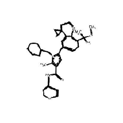 COC(C)(C)C1=C2OCCC3(CC3)C2=CC(c2cc(C(=O)NC3CCOCC3)c(C)n2CC2CCCCC2)=CC1